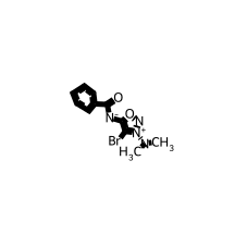 CN(C)[n+]1noc([N-]C(=O)c2ccccc2)c1Br